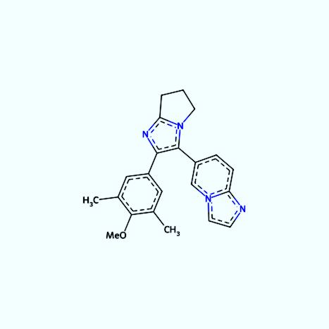 COc1c(C)cc(-c2nc3n(c2-c2ccc4nccn4c2)CCC3)cc1C